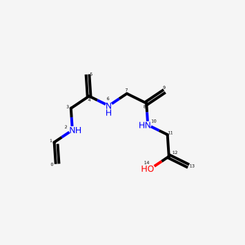 C=CNCC(=C)NCC(=C)NCC(=C)O